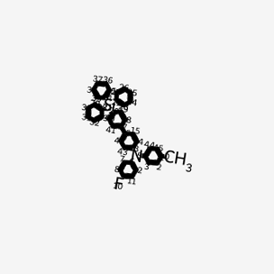 Cc1ccc(N(c2ccc(F)cc2)c2ccc(-c3ccc([Si](c4ccccc4)(c4ccccc4)c4ccccc4)cc3)cc2)cc1